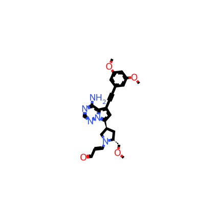 COC[C@H]1C[C@H](c2cc(C#Cc3cc(OC)cc(OC)c3)c3c(N)ncnn23)CN1C=CC=O